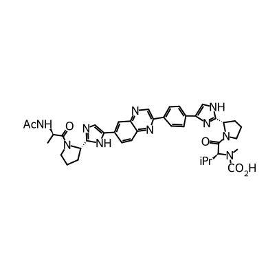 CC(=O)N[C@H](C)C(=O)N1CCC[C@H]1c1ncc(-c2ccc3nc(-c4ccc(-c5c[nH]c([C@@H]6CCCN6C(=O)[C@H](C(C)C)N(C)C(=O)O)n5)cc4)cnc3c2)[nH]1